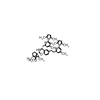 CCC1(CC)[C@@]2(C(=O)N[C@H](Cc3cc(C)cc(-n4c(C)ccc4C)n3)c3cccc(CCc4cc(C)cc(-n5c(C)ccc5C)n4)c3)CC[C@]1(C)C(=O)O2